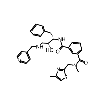 Cc1csc(CN(C)C(=O)c2cccc(C(=O)N[C@@H](Cc3ccccc3)[C@H](O)CNCc3ccncc3)c2)n1